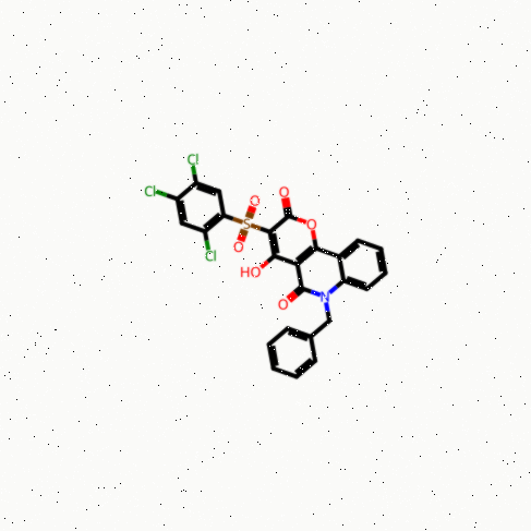 O=c1oc2c(c(O)c1S(=O)(=O)c1cc(Cl)c(Cl)cc1Cl)c(=O)n(Cc1ccccc1)c1ccccc21